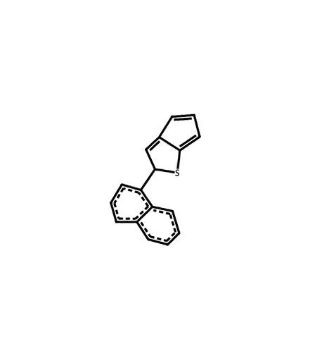 C1=CC2=CC(c3cccc4ccccc34)SC2=C1